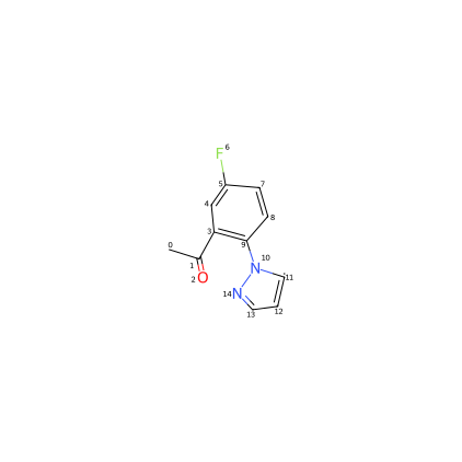 CC(=O)c1cc(F)ccc1-n1[c]ccn1